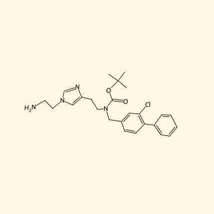 CC(C)(C)OC(=O)N(CCc1cn(CCN)cn1)Cc1ccc(-c2ccccc2)c(Cl)c1